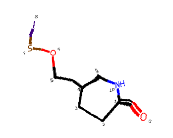 O=C1CCC(COSI)CN1